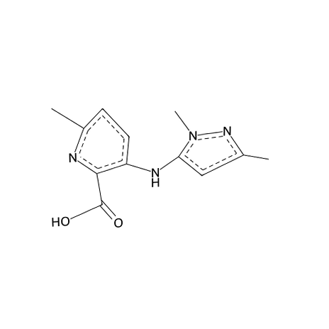 Cc1ccc(Nc2cc(C)nn2C)c(C(=O)O)n1